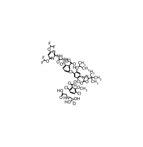 CC(C)Oc1cc(-n2nc(C(C)(C)C)oc2=O)c(Cl)cc1Cl.COc1c(Cl)ccc(Cl)c1C(=O)O.O=C(Nc1nc(OC(F)F)cc(OC(F)F)n1)NS(=O)(=O)c1ccccc1C(=O)O.O=C(O)CNCP(=O)(O)O